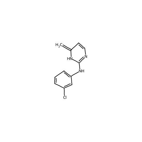 C=C1C=CN=C(Nc2cccc(Cl)c2)N1